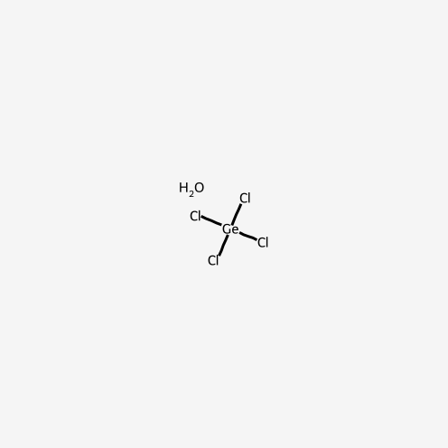 O.[Cl][Ge]([Cl])([Cl])[Cl]